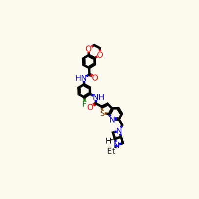 CCN1CC2[C@@H]1CN2Cc1ccc2cc(C(=O)Nc3cc(NC(=O)c4ccc5c(c4)OCCO5)ccc3F)sc2n1